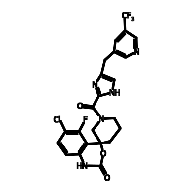 O=C1Nc2ccc(Cl)c(F)c2[C@@]2(CCCN(C(=O)c3nc(Cc4cncc(C(F)(F)F)c4)c[nH]3)C2)O1